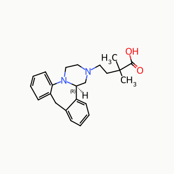 CC(C)(CCN1CCN2c3ccccc3Cc3ccccc3[C@@H]2C1)C(=O)O